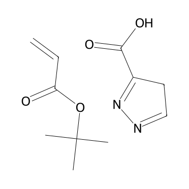 C=CC(=O)OC(C)(C)C.O=C(O)C1=NN=CC1